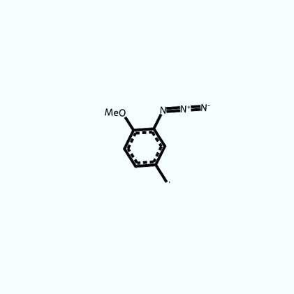 [CH2]c1ccc(OC)c(N=[N+]=[N-])c1